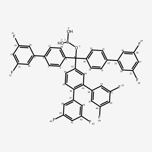 OB(O)OC(c1ccc(-c2cc(F)cc(F)c2)cc1)(c1ccc(-c2cc(F)cc(F)c2)cc1)c1ccc(-c2cc(F)cc(F)c2)c(-c2cc(F)cc(F)c2)c1